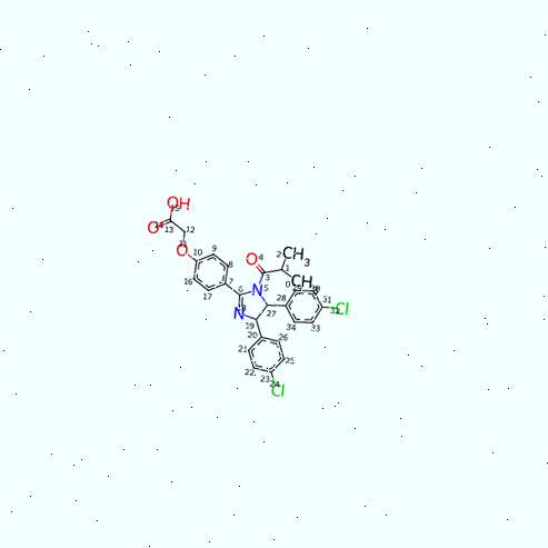 CC(C)C(=O)N1C(c2ccc(OCC(=O)O)cc2)=NC(c2ccc(Cl)cc2)C1c1ccc(Cl)cc1